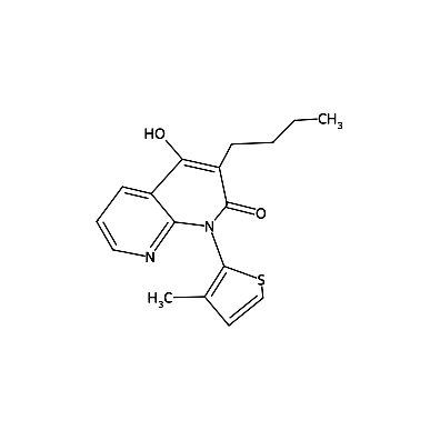 CCCCc1c(O)c2cccnc2n(-c2sccc2C)c1=O